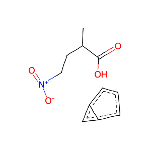 CC(CC[N+](=O)[O-])C(=O)O.c1cc2cc-2c1